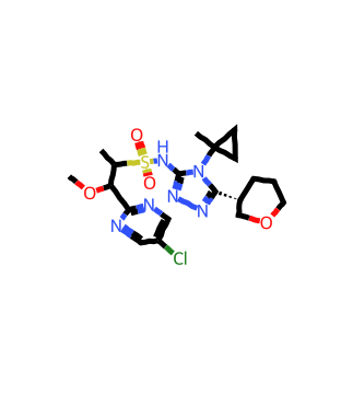 COC(c1ncc(Cl)cn1)C(C)S(=O)(=O)Nc1nnc([C@@H]2CCCOC2)n1C1(C)CC1